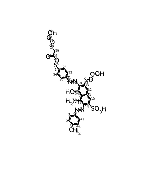 Cc1ccc(N=Nc2c(S(=O)(=O)O)cc3cc(SOOO)c(N=Nc4ccc(SOC(=O)CSOOO)cc4)c(O)c3c2N)cc1